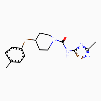 Cc1ccc(SC2CCN(C(=O)Nc3nc(C)ns3)CC2)cc1